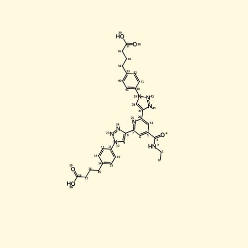 CCNC(=O)c1cc(-c2cn(-c3ccc(CCCC(=O)O)cc3)nn2)nc(-c2cn(-c3ccc(CCCC(=O)O)cc3)nn2)c1